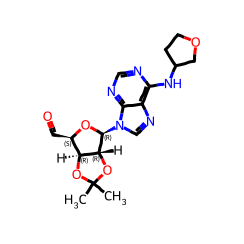 CC1(C)O[C@@H]2[C@@H](O1)[C@@H](C=O)O[C@H]2n1cnc2c(NC3CCOC3)ncnc21